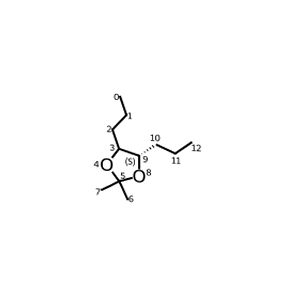 CCCC1OC(C)(C)O[C@H]1CCC